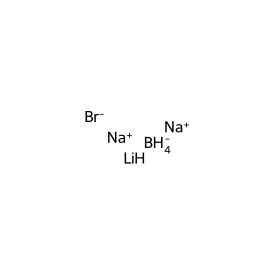 [BH4-].[Br-].[LiH].[Na+].[Na+]